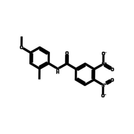 COc1ccc(NC(=O)c2ccc([N+](=O)[O-])c([N+](=O)[O-])c2)c(C)c1